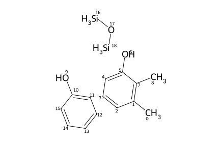 Cc1cccc(O)c1C.Oc1ccccc1.[SiH3]O[SiH3]